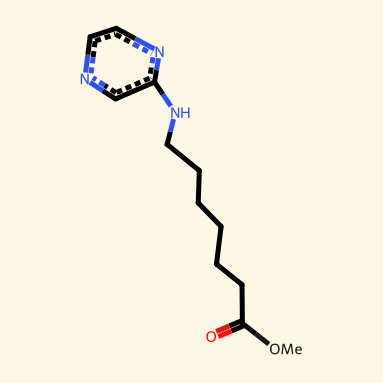 COC(=O)CCCCCCNc1cnccn1